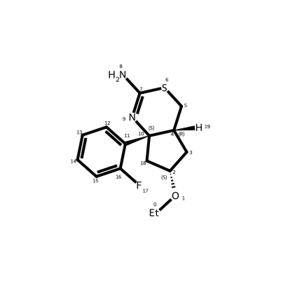 CCO[C@H]1C[C@H]2CSC(N)=N[C@@]2(c2ccccc2F)C1